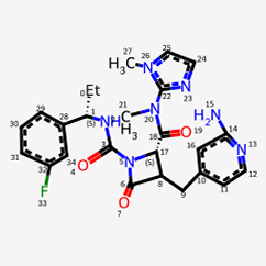 CC[C@H](NC(=O)N1C(=O)C(Cc2ccnc(N)c2)[C@H]1C(=O)N(C)c1nccn1C)c1cccc(F)c1